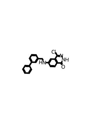 O=c1[nH]nc(Cl)c2cc(NCc3cccc(-c4ccccc4)c3)ccc12